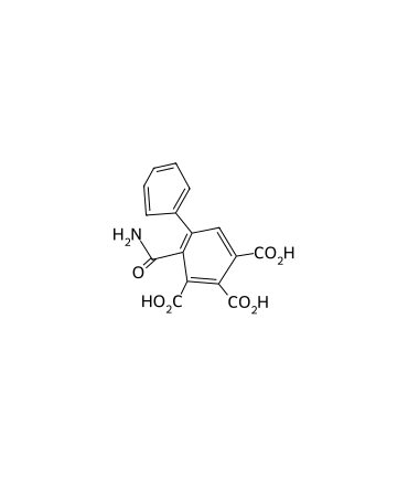 NC(=O)c1c(-c2ccccc2)cc(C(=O)O)c(C(=O)O)c1C(=O)O